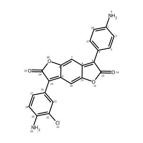 Nc1ccc(C2=c3cc4c(cc3OC2=O)=C(c2ccc(N)c(Cl)c2)C(=O)O4)cc1